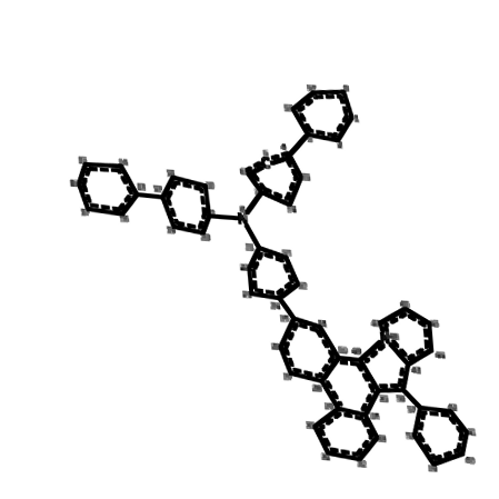 c1ccc(-c2ccc(N(c3ccc(-c4ccccc4)cc3)c3ccc(-c4ccc5c6ccccc6c6c(-c7ccccc7)c7ccccn7c6c5c4)cc3)cc2)cc1